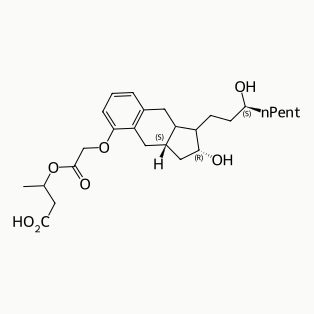 CCCCC[C@H](O)CCC1C2Cc3cccc(OCC(=O)OC(C)CC(=O)O)c3C[C@H]2C[C@H]1O